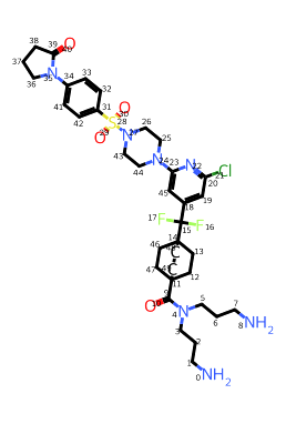 NCCCN(CCCN)C(=O)C12CCC(C(F)(F)c3cc(Cl)nc(N4CCN(S(=O)(=O)c5ccc(N6CCCC6=O)cc5)CC4)c3)(CC1)CC2